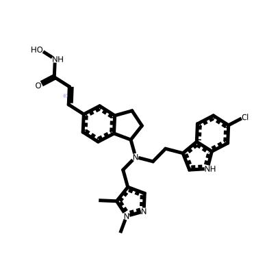 Cc1c(CN(CCc2c[nH]c3cc(Cl)ccc23)C2CCc3cc(/C=C/C(=O)NO)ccc32)cnn1C